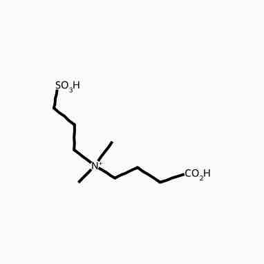 C[N+](C)(CCCC(=O)O)CCCS(=O)(=O)O